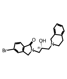 O=C1c2ccc(Br)cc2CN1C[C@H](O)CN1CCc2ccccc2C1